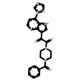 O=C(C(=O)N1CCN(C(=O)c2ccccc2)CC1)c1c[nH]c2c(-n3cncn3)ccnc12